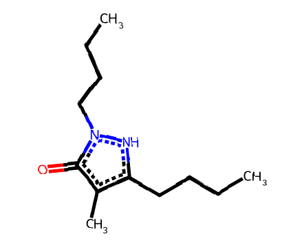 CCCCc1[nH]n(CCCC)c(=O)c1C